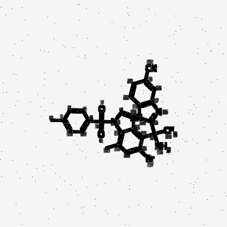 Cc1ccc(S(=O)(=O)n2ccc3c(C(N)(c4nc5cc(C#N)ccc5[nH]4)C(F)(F)F)c(Br)cc(C)c32)cc1